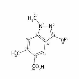 CCCc1nn(C)c2cc(C)c(C(=O)O)cc12